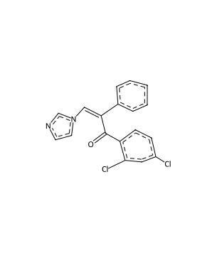 O=C(C(=Cn1ccnc1)c1ccccc1)c1ccc(Cl)cc1Cl